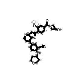 COc1cc(C(=O)N2CC(O)C2)ccc1-c1cc2nccc(-c3ccc(NC4CCOCC4)c(C#N)c3)c2o1